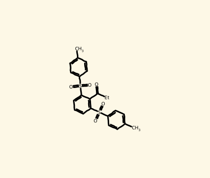 CCC(=O)c1c(S(=O)(=O)c2ccc(C)cc2)cccc1S(=O)(=O)c1ccc(C)cc1